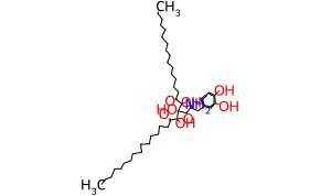 CCCCCCCCCCCCCCCC(=O)C(O)C(O)(C(=O)C(N)Cc1ccc(O)c(O)c1)C(O)C(=O)CCCCCCCCCCCCCCC